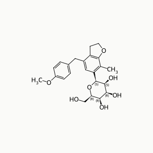 COc1ccc(Cc2cc([C@@H]3O[C@H](CO)[C@H](O)[C@H](O)[C@@H]3O)c(C)c3c2CCO3)cc1